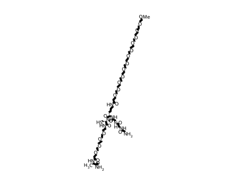 COCCOCCOCCOCCOCCOCCOCCOCCOCCOCCOCCOCCOCCC(=O)NCCCC[C@H](NC(=O)CNC(=O)CNC(=O)CN)C(=O)N[C@@H](CS)C(=O)NCCOCCOCCOCCOCCC(=O)N[C@@H](C)C(N)=O